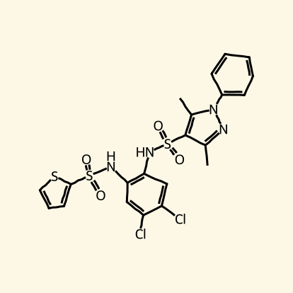 Cc1nn(-c2ccccc2)c(C)c1S(=O)(=O)Nc1cc(Cl)c(Cl)cc1NS(=O)(=O)c1cccs1